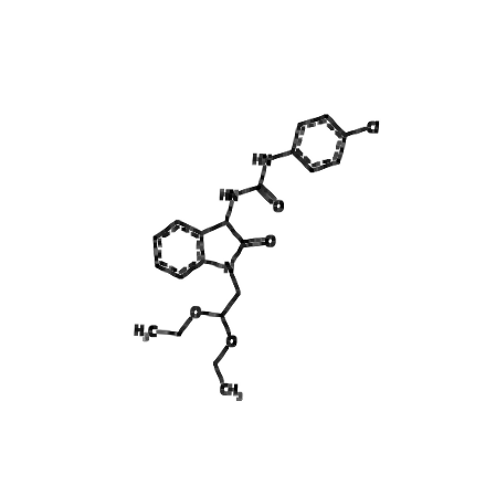 CCOC(CN1C(=O)C(NC(=O)Nc2ccc(Cl)cc2)c2ccccc21)OCC